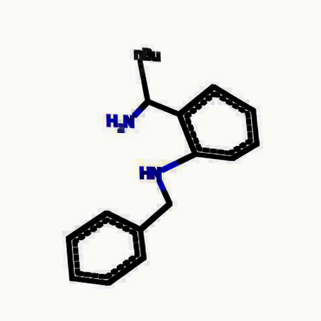 CCCCC(N)c1ccccc1NCc1ccccc1